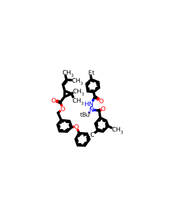 CC(C)=CC1C(C(=O)OCc2cccc(Oc3ccccc3)c2)C1(C)C.CCc1ccc(C(=O)NN(C(=O)c2cc(C)cc(C)c2)C(C)(C)C)cc1